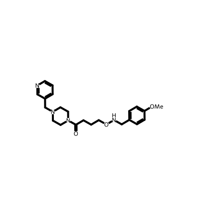 COc1ccc(CNOCCCC(=O)N2CCN(Cc3cccnc3)CC2)cc1